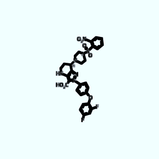 O=C(O)c1c2c(nn1-c1ccc(Oc3ccc(F)cc3F)cc1)[C@H](N1CCN(S(=O)(=O)c3ccccc3[N+](=O)[O-])CC1)CCN2